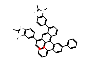 Cc1nc2ccc(-c3cccc4c(-c5cc(-c6ccccc6)ccc5-c5ccccc5)c5cccc(-c6ccc7nc(C)n(C)c7c6)c5cc34)cc2n1C